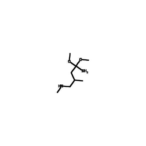 CNCC(C)CC([SiH3])(OC)OC